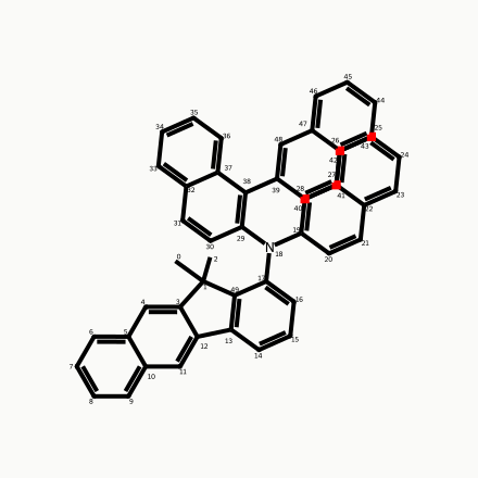 CC1(C)c2cc3ccccc3cc2-c2cccc(N(c3ccc4ccccc4c3)c3ccc4ccccc4c3-c3ccc4ccccc4c3)c21